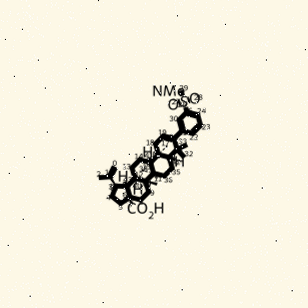 C=C(C)[C@@H]1CC[C@]2(C(=O)O)CC[C@]3(C)[C@H](CC[C@@H]4[C@@]5(C)CC=C(c6cccc(S(=O)(=O)NC)c6)C(C)(C)[C@@H]5CC[C@]43C)[C@@H]12